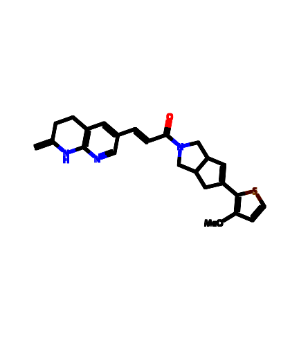 C=C1CCc2cc(/C=C/C(=O)N3CC4C=C(c5sccc5OC)CC4C3)cnc2N1